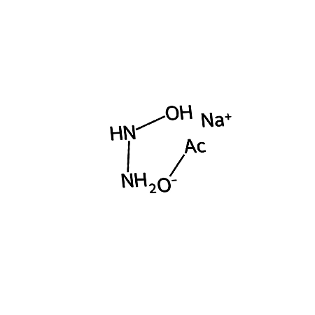 CC(=O)[O-].NNO.[Na+]